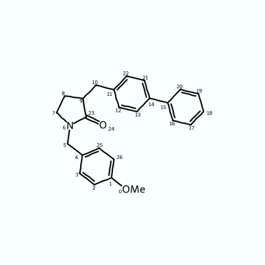 COc1ccc(CN2CCC(Cc3ccc(-c4ccccc4)cc3)C2=O)cc1